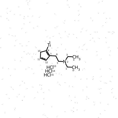 CCN(CC)CCC1=[C]([Ti])CC=C1.Cl.Cl.Cl